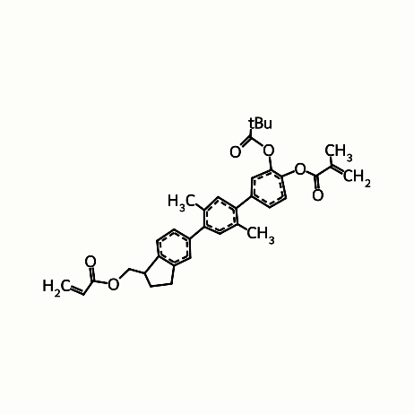 C=CC(=O)OCC1CCc2cc(-c3cc(C)c(-c4ccc(OC(=O)C(=C)C)c(OC(=O)C(C)(C)C)c4)cc3C)ccc21